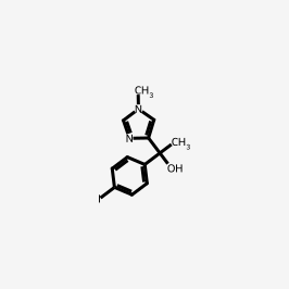 Cn1cnc(C(C)(O)c2ccc(I)cc2)c1